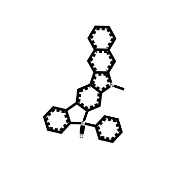 Cn1c2cc3c(cc2c2cc4ccccc4cc21)-c1ccccc1P3(=O)c1ccccc1